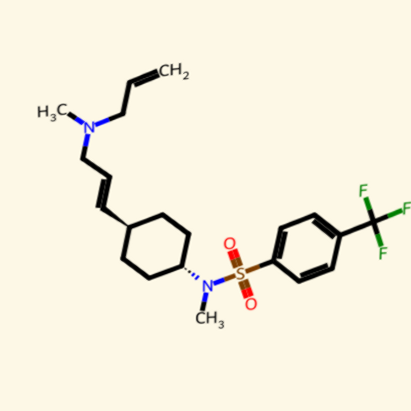 C=CCN(C)C/C=C/[C@H]1CC[C@H](N(C)S(=O)(=O)c2ccc(C(F)(F)F)cc2)CC1